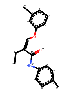 CCC(=COc1cccc(C)c1)C(=O)Nc1ccc(C)cc1